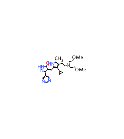 COCCN(CCOC)CCc1c(C)[nH]c(C=C2C(=O)NN=C2c2cncnc2)c1C1CC1